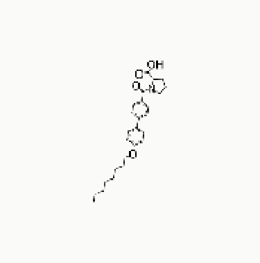 CCCCCCCCOc1ccc(-c2ccc(C(=O)N3CCCC3C(=O)O)cc2)cc1